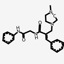 CN1CCN(C/C(=C\c2ccccc2)C(=O)NCC(=O)Nc2ccccc2)CC1